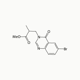 COC(=O)C(C)Cn1cnc2ccc(Br)cc2c1=O